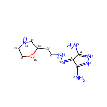 NC1=NN=C(N)C1=NNCCC1CNCCO1